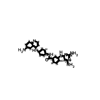 Nc1ccc2nccc(Nc3ccc(NC(=O)c4cccc(Nc5cc(N)nc(N)n5)c4)cc3)c2c1